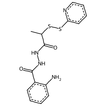 CC(SSc1ccccn1)C(=O)NNC(=O)c1ccccc1N